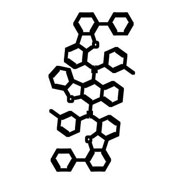 Cc1cccc(N(c2cccc3c2oc2c(-c4ccccc4)cccc23)c2c3ccccc3c(N(c3cccc(C)c3)c3cccc4c3oc3c(-c5ccccc5)cccc34)c3c2oc2ccccc23)c1